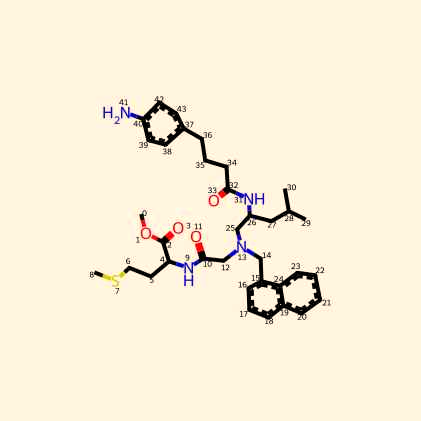 COC(=O)C(CCSC)NC(=O)CN(Cc1cccc2ccccc12)CC(CC(C)C)NC(=O)CCCc1ccc(N)cc1